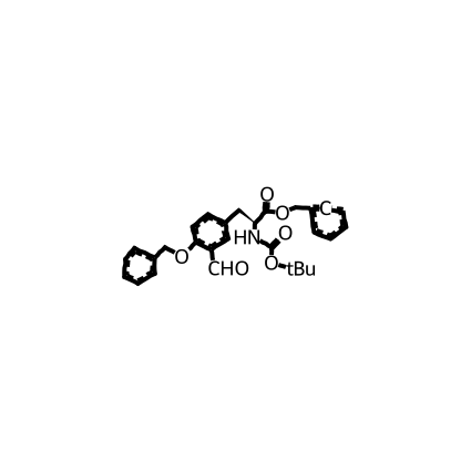 CC(C)(C)OC(=O)N[C@@H](Cc1ccc(OCc2ccccc2)c(C=O)c1)C(=O)OCc1ccccc1